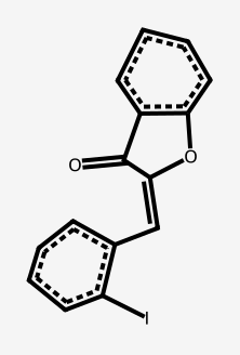 O=C1C(=Cc2ccccc2I)Oc2ccccc21